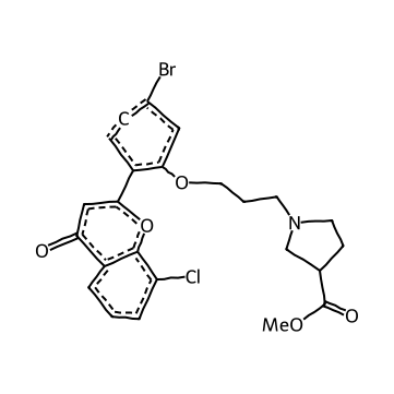 COC(=O)C1CCN(CCCOc2cc(Br)ccc2-c2cc(=O)c3cccc(Cl)c3o2)C1